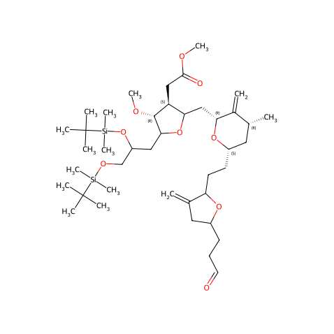 C=C1CC(CCC=O)OC1CC[C@H]1C[C@@H](C)C(=C)[C@@H](CC2OC(CC(CO[Si](C)(C)C(C)(C)C)O[Si](C)(C)C(C)(C)C)[C@H](OC)[C@H]2CC(=O)OC)O1